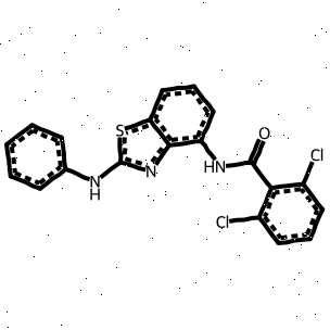 O=C(Nc1cccc2sc(Nc3ccccc3)nc12)c1c(Cl)cccc1Cl